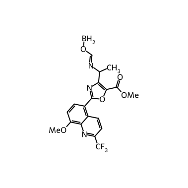 BOC=NC(C)c1nc(-c2ccc(OC)c3nc(C(F)(F)F)ccc23)oc1C(=O)OC